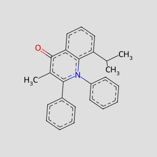 Cc1c(-c2ccccc2)n(-c2ccccc2)c2c(C(C)C)cccc2c1=O